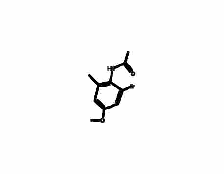 COc1cc(C)c(NC(C)=O)c(Br)c1